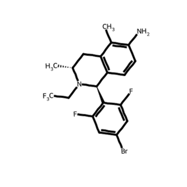 Cc1c(N)ccc2c1C[C@@H](C)N(CC(F)(F)F)[C@@H]2c1c(F)cc(Br)cc1F